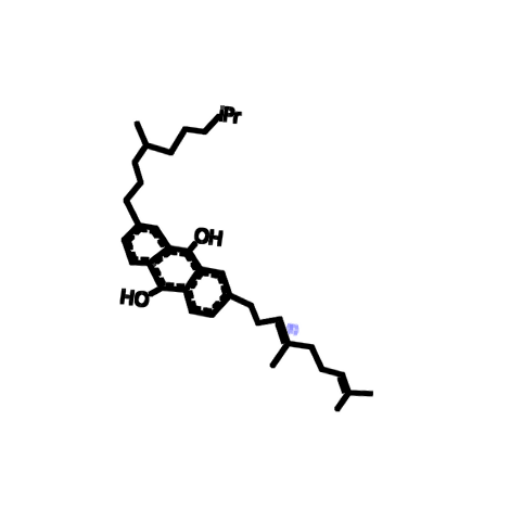 CC(C)=CCC/C(C)=C/CCc1ccc2c(O)c3ccc(CCCC(C)CCCC(C)C)cc3c(O)c2c1